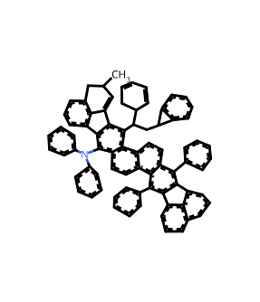 CC1C=C2c3c(cccc3-c3c2c(C(CC2c4ccccc42)C2C=CC=CC2)c2c(ccc4c2ccc2c(-c5ccccc5)c5c(c(-c6ccccc6)c24)-c2cccc4cccc-5c24)c3N(c2ccccc2)c2ccccc2)C1